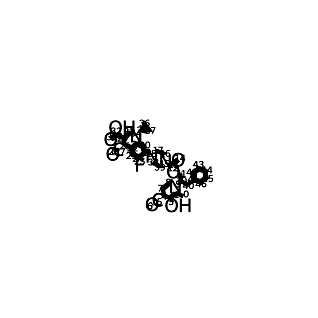 CC1=C(O)C(=C=O)C=CN1C(COC(=O)N1CCN(c2cc3c(cc2F)C(=C=O)C(C(=O)O)=CN3C2CC2)CC1)Cc1ccccc1